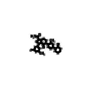 Cc1cc(F)cc(-n2nc(C(N)=O)c3c2C(=O)N(c2ccc(N4CCCCC4=O)cc2C)CC3)c1